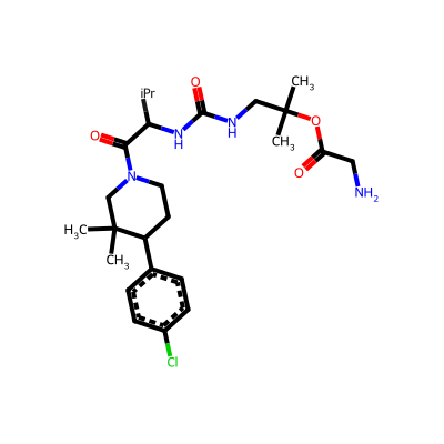 CC(C)C(NC(=O)NCC(C)(C)OC(=O)CN)C(=O)N1CCC(c2ccc(Cl)cc2)C(C)(C)C1